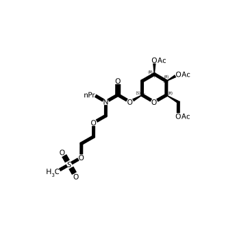 CCCN(COCCOS(C)(=O)=O)C(=O)O[C@H]1C[C@@H](OC(C)=O)[C@@H](OC(C)=O)[C@@H](COC(C)=O)O1